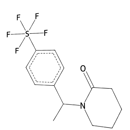 CC(c1ccc(S(F)(F)(F)(F)F)cc1)N1CCCCC1=O